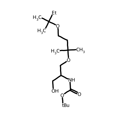 CCC(C)(C)OCCC(C)(C)OCC(CO)NC(=O)OC(C)(C)C